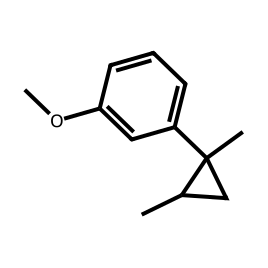 COc1cccc(C2(C)CC2C)c1